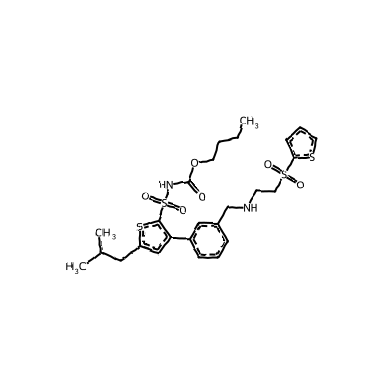 CCCCOC(=O)NS(=O)(=O)c1sc(CC(C)C)cc1-c1cccc(CNCCS(=O)(=O)c2cccs2)c1